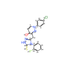 O=c1ccn(-c2ccc(Cl)cc2)nc1Cc1n[nH]c(=S)n1-c1ccccc1F